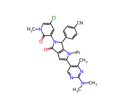 Cc1nc(N(C)C)ncc1-c1cc2c(n1C(C)C)C(c1ccc(C#N)cc1)N(c1cc(Cl)cn(C)c1=O)C2=O